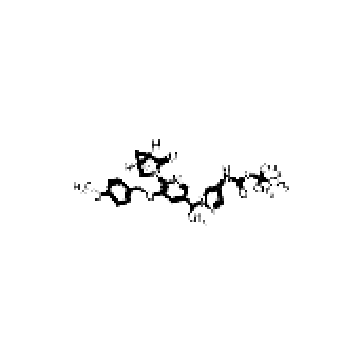 COc1ccc(COc2cc(C(C)n3cc(NC(=O)OC(C)(C)C)cn3)cnc2N2C[C@H]3C[C@H]3C2=O)cc1